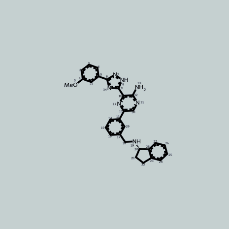 COc1cccc(-c2n[nH]c(-c3nc(-c4cccc(CN[C@H]5CCc6ccccc65)c4)cnc3N)n2)c1